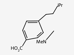 CC(C)CCc1ccc(C(=O)O)cc1.CNC